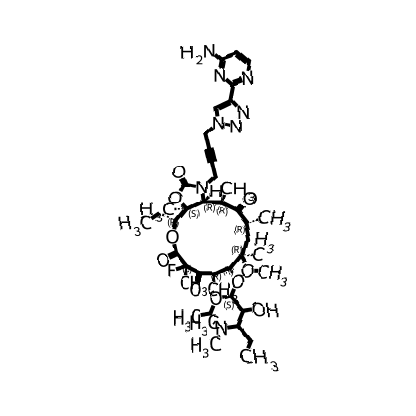 CCO[C@@H](O[C@@H]1[C@@H](C)C(=O)[C@](C)(F)C(=O)O[C@H](CC)[C@@]2(C)OC(=O)N(CC#CCn3cc(-c4nccc(N)n4)nn3)[C@@H]2[C@@H](C)C(=O)[C@H](C)C[C@@]1(C)OC)C(O)C(CC)N(C)C